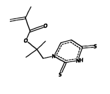 C=C(C)C(=O)OC(C)(C)Cn1ccc(=S)[nH]c1=S